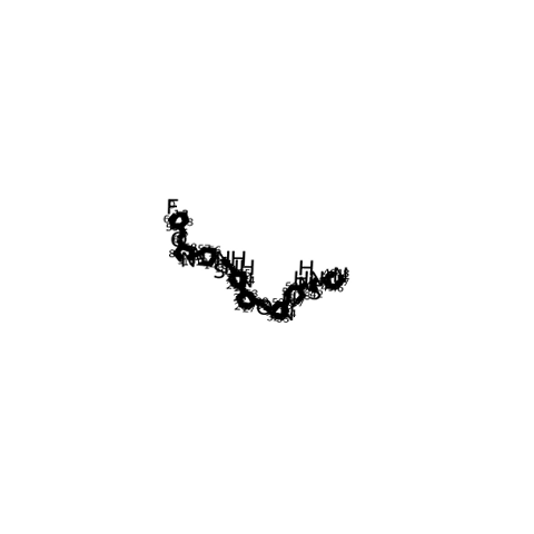 Fc1ccc(COc2ccnc(N3CCC(NC(=S)Nc4ccc(-c5cccc(COc6ccnc(N7CCC(NC(=S)Nc8cccnc8)CC7)c6)c5)nc4)CC3)c2)cc1